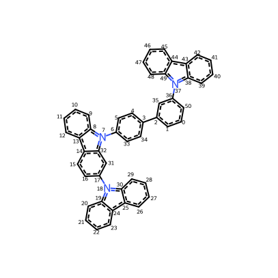 c1cc(-c2ccc(-n3c4ccccc4c4ccc(-n5c6ccccc6c6ccccc65)cc43)cc2)cc(-n2c3ccccc3c3ccccc32)c1